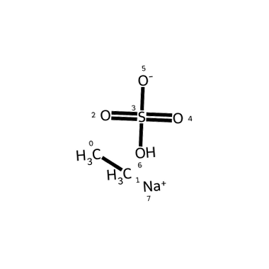 CC.O=S(=O)([O-])O.[Na+]